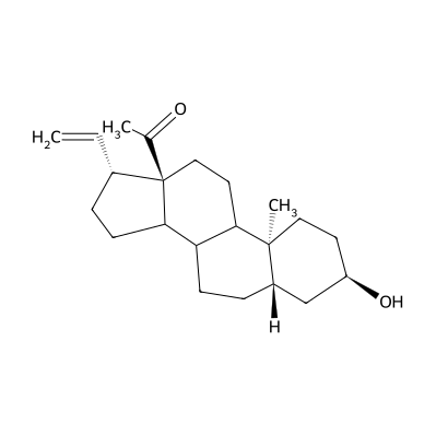 C=C[C@H]1CCC2C3CC[C@H]4C[C@H](O)CC[C@]4(C)C3CC[C@]21C(C)=O